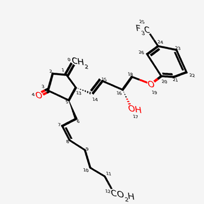 C=C1CC(=O)[C@H](C/C=C\CCCC(=O)O)[C@H]1/C=C/[C@@H](O)COc1cccc(C(F)(F)F)c1